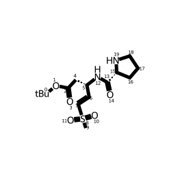 CC(C)(C)OC(=O)C[C@@H](/C=C/S(C)(=O)=O)NC(=O)[C@H]1CCCN1